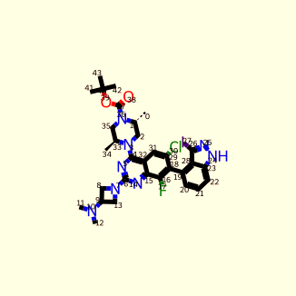 C[C@@H]1CN(c2nc(N3CC(N(C)C)C3)nc3c(F)c(-c4cccc5[nH]nc(I)c45)c(Cl)cc23)[C@@H](C)CN1C(=O)OC(C)(C)C